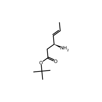 CC=C[C@@H](N)CC(=O)OC(C)(C)C